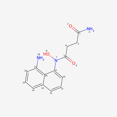 NC(=O)CCC(=O)N(O)c1cccc2cccc(N)c12